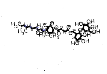 C=C/C=C(C)/C=C/C=C(C)/C=C/C1=C(C)C(=O)C(OC(=O)CCC(=O)OCC2CC(O)C(O)C(O)C2OC2CC(CO)C(O)C(O)C2O)CC1(C)C